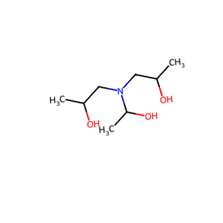 CC(O)CN(CC(C)O)C(C)O